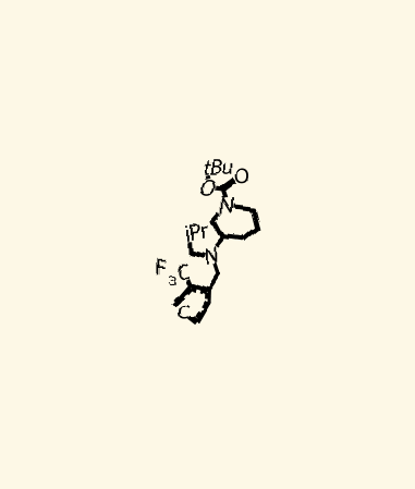 CC(C)CN(Cc1ccccc1C(F)(F)F)C1CCCN(C(=O)OC(C)(C)C)C1